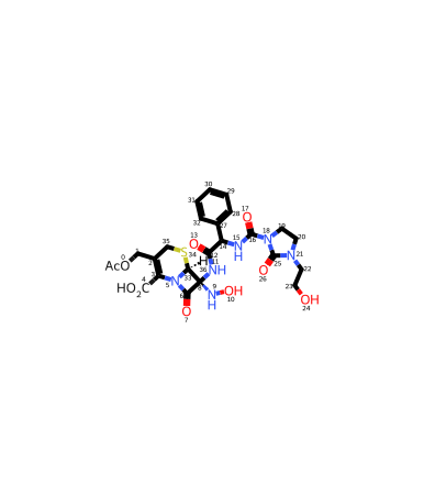 CC(=O)OCC1=C(C(=O)O)N2C(=O)[C@@](NO)(NC(=O)C(NC(=O)N3CCN(CCO)C3=O)c3ccccc3)[C@@H]2SC1